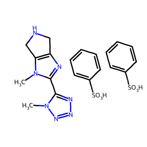 Cn1nnnc1-c1nc2c(n1C)CNC2.O=S(=O)(O)c1ccccc1.O=S(=O)(O)c1ccccc1